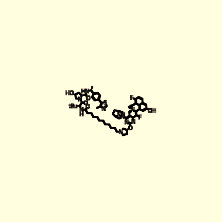 C#Cc1c(F)ccc2cc(O)cc(-c3ncc4c(N5CC6CCC(C5)N6)nc(O[C@H]5CCN(CCCCCCCCCCCC(=O)N[C@H](C(=O)N6C[C@H](O)C[C@H]6C(=O)N[C@@H](C)c6ccc(-c7scnc7C)cc6)C(C)(C)C)C5)nc4c3F)c12